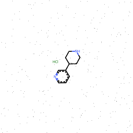 Cl.c1cncc(C2CCNCC2)c1